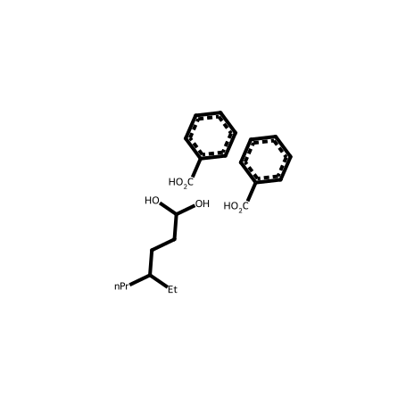 CCCC(CC)CCC(O)O.O=C(O)c1ccccc1.O=C(O)c1ccccc1